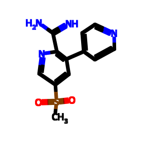 CS(=O)(=O)c1cnc(C(=N)N)c(-c2ccncc2)c1